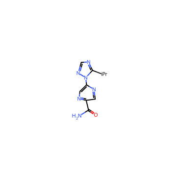 CC(C)c1ncnn1-c1cnc(C(N)=O)cn1